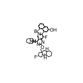 Oc1cc(-c2ncc3c(N4CC5CCC(C4)N5)nc(OCC45C[C@H](F)CN4[C@H]4CCCC[C@H]4C5)nc3c2F)c2c(Br)cccc2c1